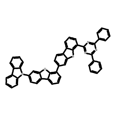 c1ccc(-c2nc(-c3ccccc3)nc(-c3cccc4c3sc3cc(-c5cccc6c5oc5cc(-n7c8ccccc8c8ccccc87)ccc56)ccc34)n2)cc1